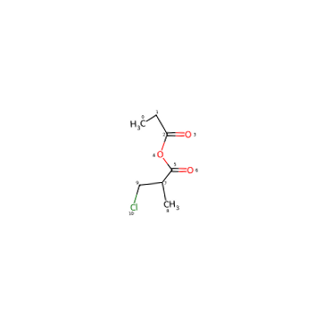 CCC(=O)OC(=O)C(C)CCl